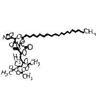 CCCCCCCCCCCCCCCCCCCC(=O)OC(c1cnco1)c1nc(C(CC(OC(C)=O)C(OC(C)=O)C(C)OC(C)=O)OC(C)=O)co1